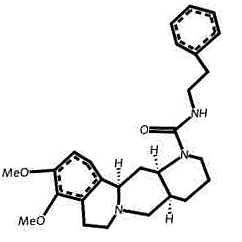 COc1ccc2c(c1OC)CCN1C[C@@H]3CCCN(C(=O)NCCc4ccccc4)[C@@H]3C[C@H]21